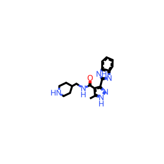 Cc1[nH]nc(-c2nc3ccccc3[nH]2)c1C(=O)NCC1CCNCC1